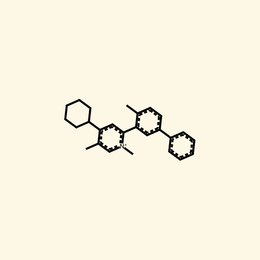 Cc1ccc(-c2ccccc2)cc1-c1cc(C2CCCCC2)c(C)c[n+]1C